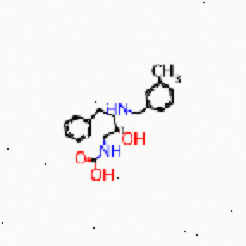 Cc1cccc(CNC(Cc2ccccc2)[C@H](O)CNC(=O)O)c1